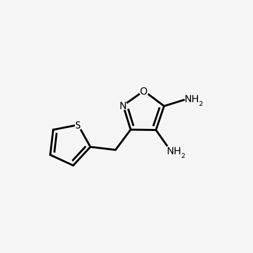 Nc1onc(Cc2cccs2)c1N